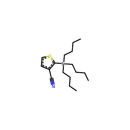 CCC[CH2][Sn]([CH2]CCC)([CH2]CCC)[c]1sccc1C#N